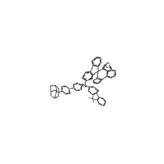 CC1(C)c2ccccc2-c2ccc(N(c3ccc(-c4ccc(C56CC7CC(CC(C7)C5)C6)cc4)cc3)c3ccc4c(c3)C3(c5ccccc5-4)c4ccccc4-c4cccc5cccc3c45)cc21